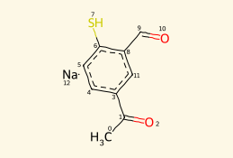 CC(=O)c1ccc(S)c(C=O)c1.[Na]